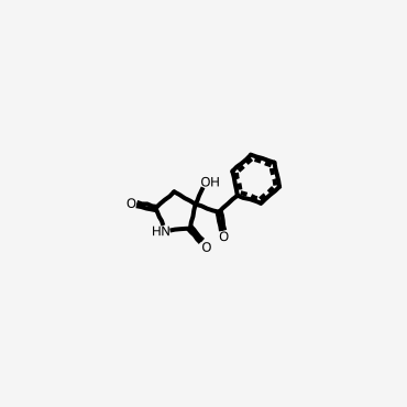 O=C1CC(O)(C(=O)c2ccccc2)C(=O)N1